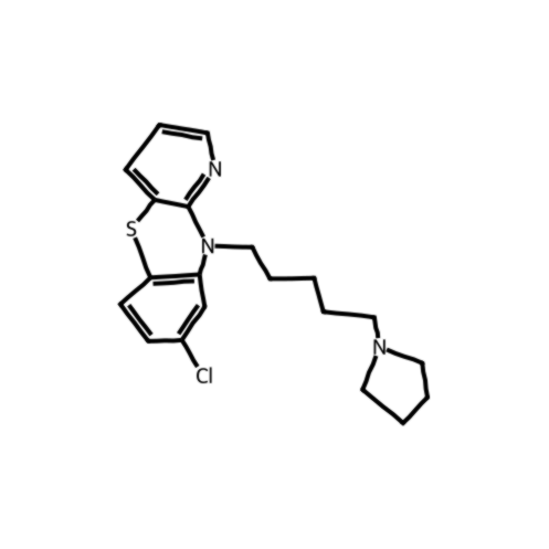 Clc1ccc2c(c1)N(CCCCCN1CCCC1)c1ncccc1S2